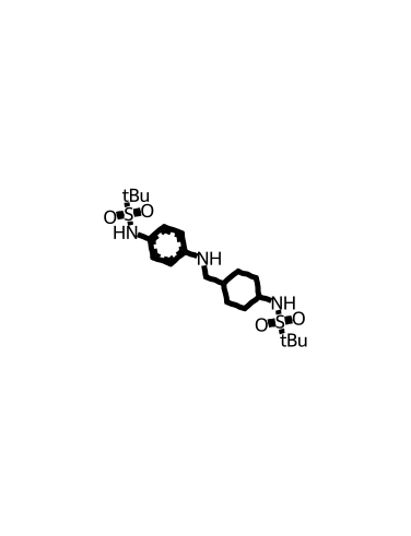 CC(C)(C)S(=O)(=O)Nc1ccc(NCC2CCC(NS(=O)(=O)C(C)(C)C)CC2)cc1